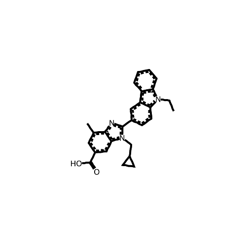 CCn1c2ccccc2c2cc(-c3nc4c(C)cc(C(=O)O)cc4n3CC3CC3)ccc21